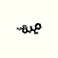 C[N+]1(C)CCC(OC(=O)C(O)c2ccccc2)C1